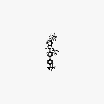 CCS(=O)(=O)c1cc(-c2ccc(C3(C(F)(F)F)CC3)cc2)cnc1-c1nc2cc(S(=O)(=O)C(F)(F)F)nnc2n1C